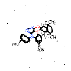 CC(C)(C)c1ccc(N2c3cc(C(C)(C)C)ccc3B3c4cc5c(cc4Oc4ncnc2c43)C(C)(C)CCC5(C)C)cc1